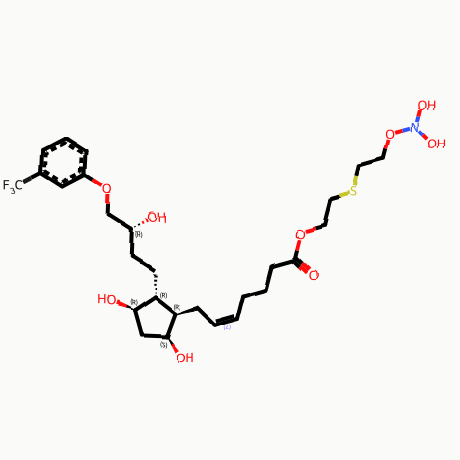 O=C(CCC/C=C\C[C@@H]1[C@@H](CC[C@@H](O)COc2cccc(C(F)(F)F)c2)[C@H](O)C[C@@H]1O)OCCSCCON(O)O